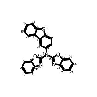 c1ccc2oc(N(c3ccc4sc5ccccc5c4c3)c3nc4ccccc4o3)nc2c1